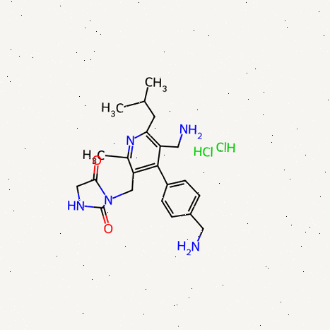 Cc1nc(CC(C)C)c(CN)c(-c2ccc(CN)cc2)c1CN1C(=O)CNC1=O.Cl.Cl